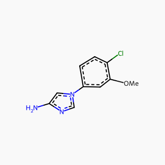 COc1cc(-n2cnc(N)c2)ccc1Cl